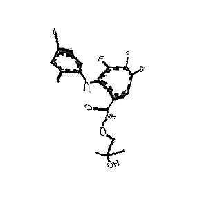 Cc1cc(I)ccc1Nc1c(C(=O)NOCC(C)(C)O)cc(Br)c(F)c1F